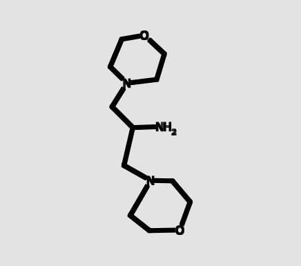 NC(CN1CCOCC1)CN1CCOCC1